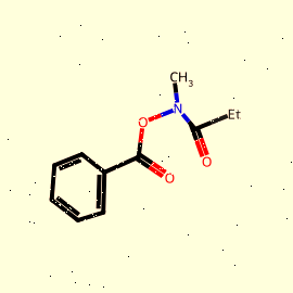 CCC(=O)N(C)OC(=O)c1ccccc1